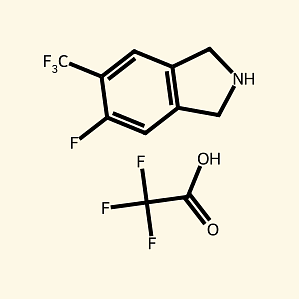 Fc1cc2c(cc1C(F)(F)F)CNC2.O=C(O)C(F)(F)F